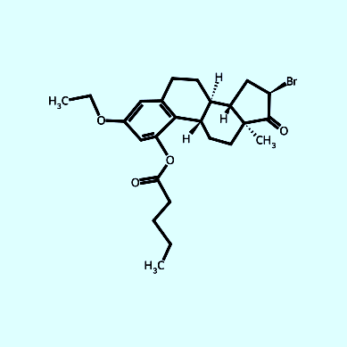 CCCCC(=O)Oc1cc(OCC)cc2c1[C@H]1CC[C@]3(C)C(=O)[C@H](Br)C[C@H]3[C@@H]1CC2